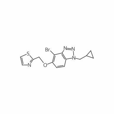 Brc1c(OCc2nccs2)ccc2c1nnn2CC1CC1